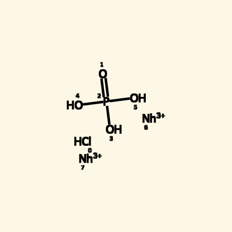 Cl.O=P(O)(O)O.[Nh+3].[Nh+3]